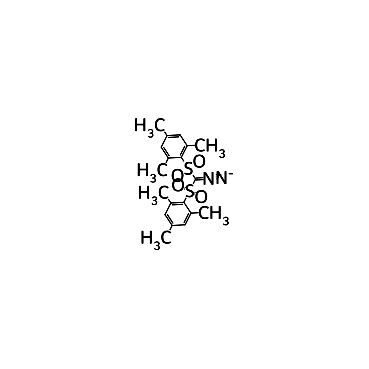 Cc1cc(C)c(S(=O)(=O)C(=[N+]=[N-])S(=O)(=O)c2c(C)cc(C)cc2C)c(C)c1